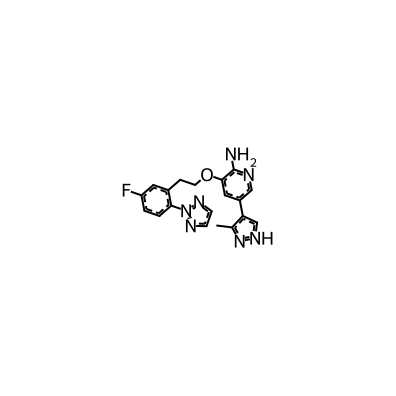 Cc1n[nH]cc1-c1cnc(N)c(OCCc2cc(F)ccc2-n2nccn2)c1